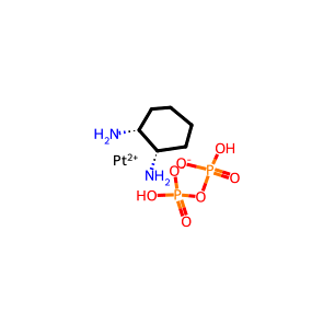 N[C@@H]1CCCC[C@@H]1N.O=P([O-])(O)OP(=O)([O-])O.[Pt+2]